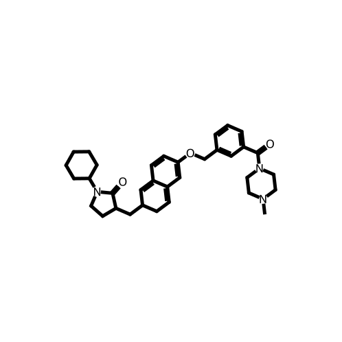 CN1CCN(C(=O)c2cccc(COc3ccc4c(c3)=CCC(CC3CCN(C5CCCCC5)C3=O)C=4)c2)CC1